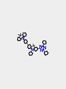 CC1(C)c2ccccc2N(c2ccc(-c3ccc4c(c3)C(C)(C)c3cc(-c5nc(-c6ccccc6)nc(-c6ccccc6)n5)ccc3N4c3ccccc3)cc2)c2ccccc21